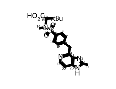 Cc1nc2c(Cc3ccc(S(=O)(=O)N(C)[C@H](C(=O)O)C(C)(C)C)cc3)nccc2[nH]1